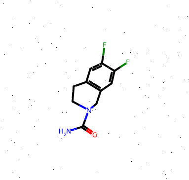 NC(=O)N1CCc2cc(F)c(F)cc2C1